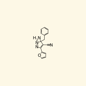 N#CC1=C(c2ccco2)N=NC1(N)Cc1ccccc1